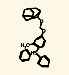 Cc1cc(OCOC2C3CC4CC(C3)CC2C4)ccc1[SH](c1ccccc1)c1ccccc1